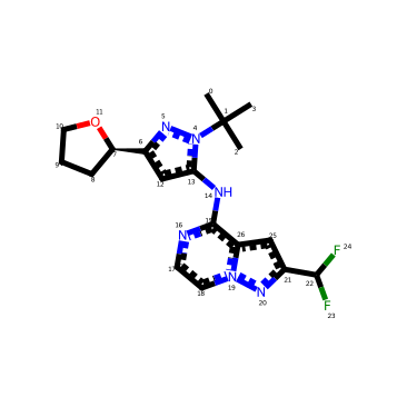 CC(C)(C)n1nc([C@H]2C[CH]CO2)cc1Nc1nccn2nc(C(F)F)cc12